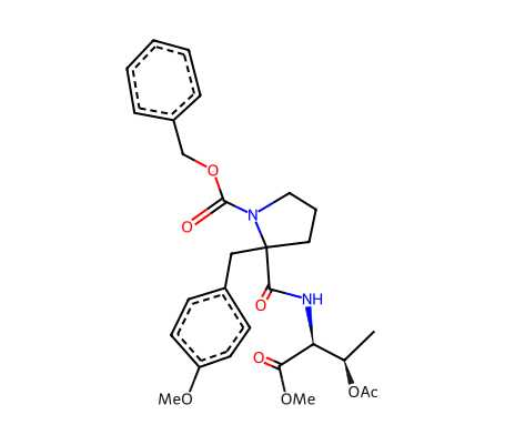 COC(=O)[C@@H](NC(=O)C1(Cc2ccc(OC)cc2)CCCN1C(=O)OCc1ccccc1)[C@@H](C)OC(C)=O